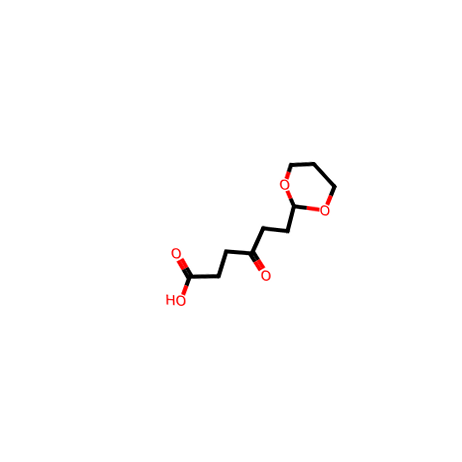 O=C(O)CCC(=O)CCC1OCCCO1